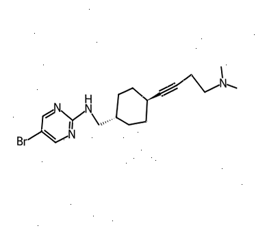 CN(C)CCC#C[C@H]1CC[C@H](CNc2ncc(Br)cn2)CC1